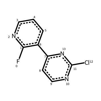 Fc1ncccc1-c1ccnc(Cl)n1